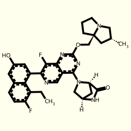 CCc1c(F)ccc2cc(O)cc(-c3ncc4c(N5C[C@H]6C[C@@H]5C(=O)N6)nc(OC[C@@]56CCCN5C[C@H](C)C6)nc4c3F)c12